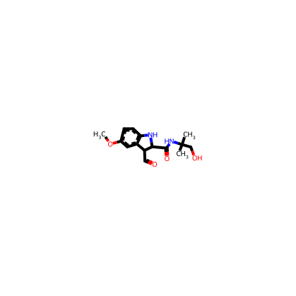 COc1ccc2c(c1)C(C=O)C(C(=O)NC(C)(C)CO)N2